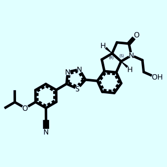 CC(C)Oc1ccc(-c2nnc(-c3cccc4c3C[C@@H]3CC(=O)N(CCO)[C@H]43)s2)cc1C#N